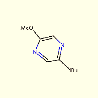 CCC(C)c1cnc(OC)cn1